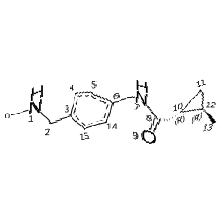 CNCc1ccc(NC(=O)[C@@H]2C[C@H]2C)cc1